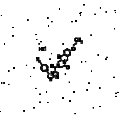 C=CCOc1ccc(Br)c(CN2CCN(C(=O)c3cnc4n3C(c3ccc(C#N)cc3)CS4)CC2=O)c1.Cl